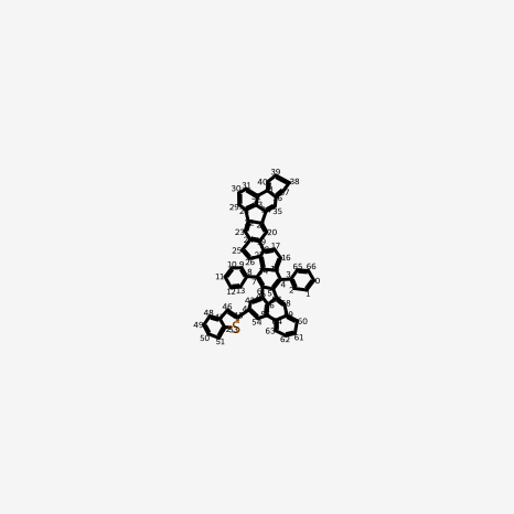 c1ccc(-c2c3c(c(-c4ccccc4)c4c2ccc2c5cc6c(cc5ccc24)-c2cccc4c2c-6cc2ccccc24)-c2cc(-c4cc5ccccc5s4)cc4c2c-3cc2ccccc24)cc1